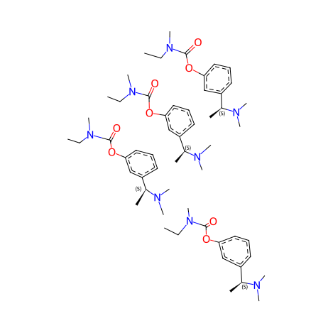 CCN(C)C(=O)Oc1cccc([C@H](C)N(C)C)c1.CCN(C)C(=O)Oc1cccc([C@H](C)N(C)C)c1.CCN(C)C(=O)Oc1cccc([C@H](C)N(C)C)c1.CCN(C)C(=O)Oc1cccc([C@H](C)N(C)C)c1